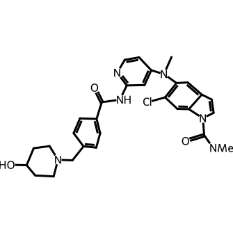 CNC(=O)n1ccc2cc(N(C)c3ccnc(NC(=O)c4ccc(CN5CCC(O)CC5)cc4)c3)c(Cl)cc21